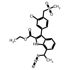 CCOC(=O)c1[nH]c2c(C(C)N=[N+]=[N-])cccc2c1-c1ccc(CS(C)(=O)=O)c(Cl)c1